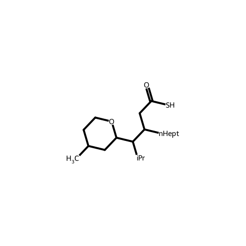 CCCCCCCC(CC(=O)S)C(C(C)C)C1CC(C)CCO1